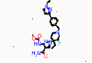 CCn1ccc(-c2ccc(CN3CCC(CC)(n4cc(C(N)=O)c(NC(=O)OC)n4)C(F)C3)cc2)n1